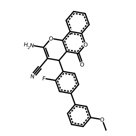 COc1cccc(-c2ccc(C3C(C#N)=C(N)Oc4c3c(=O)oc3ccccc43)c(F)c2)c1